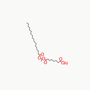 CCCCCCCCCCCCCCCCCC(=O)OC(C)OC(=O)CCCCCCC(=O)O